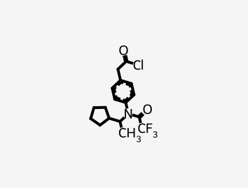 CC(C1CCCC1)N(C(=O)C(F)(F)F)c1ccc(CC(=O)Cl)cc1